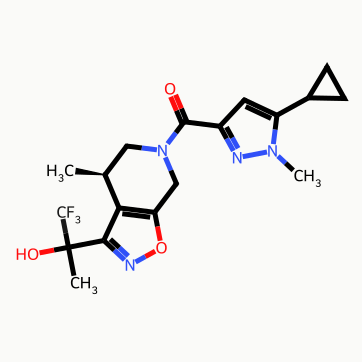 C[C@H]1CN(C(=O)c2cc(C3CC3)n(C)n2)Cc2onc(C(C)(O)C(F)(F)F)c21